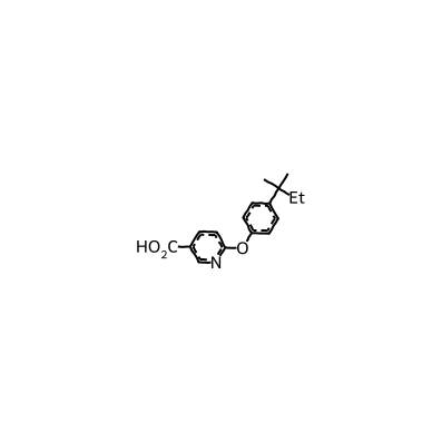 CCC(C)(C)c1ccc(Oc2ccc(C(=O)O)cn2)cc1